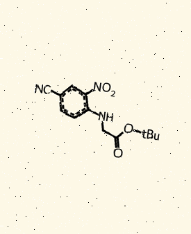 CC(C)(C)OC(=O)CNc1ccc(C#N)cc1[N+](=O)[O-]